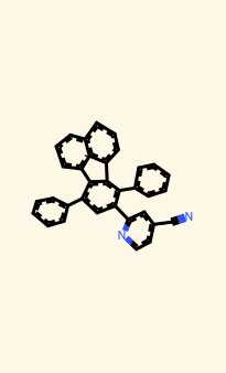 N#Cc1ccnc(-c2cc(-c3ccccc3)c3c(c2-c2ccccc2)-c2cccc4cccc-3c24)c1